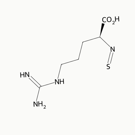 N=C(N)NCCC[C@H](N=S)C(=O)O